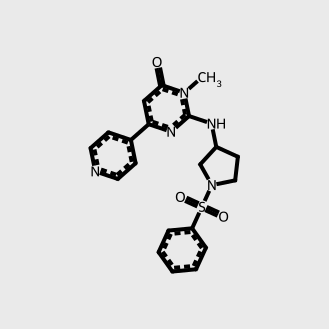 Cn1c(NC2CCN(S(=O)(=O)c3ccccc3)C2)nc(-c2ccncc2)cc1=O